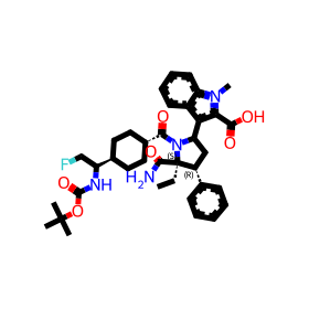 CC[C@@]1(C(N)=O)[C@@H](c2ccccc2)CC(c2c(C(=O)O)n(C)c3ccccc23)N1C(=O)[C@H]1CC[C@H](C(CF)NC(=O)OC(C)(C)C)CC1